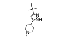 CN1CCC(c2cc(C(C)(C)I)n[nH]2)CC1